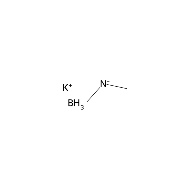 B.C[N-]C.[K+]